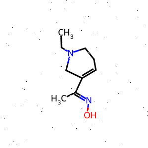 CCN1CCC=C(C(C)=NO)C1